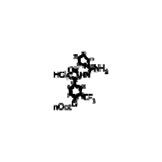 CCCCCCCCOc1ccc(-c2noc([C@@H]3CCCN3C(=N)N)n2)cc1C(F)(F)F.Cl